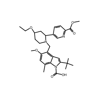 CCOC1CCN(Cc2c(OC)cc(C)c3c2cc(C(C)(C)C)n3C(=O)O)C(c2ccc(C(=O)OC)nc2)C1